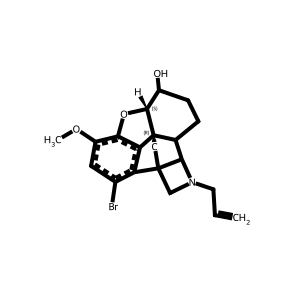 C=CCN1CC23C[C@@]45c6c(c(OC)cc(Br)c62)O[C@@H]4C(O)CCC5C13